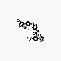 Nc1ncc(Cl)cc1-c1ccc(Oc2ccc(NC(=O)Nc3cc(C(F)(F)F)ccc3-n3ccnn3)cn2)cc1